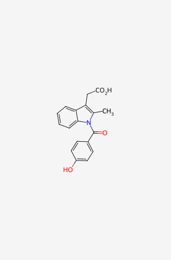 Cc1c(CC(=O)O)c2ccccc2n1C(=O)c1ccc(O)cc1